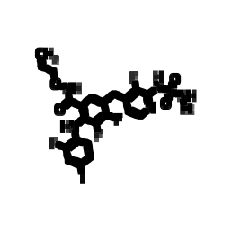 C=CCONC(=O)c1cc(Cc2ccnc(NS(=O)(=O)NCC)c2F)c(F)c(F)c1Nc1ccc(I)cc1F